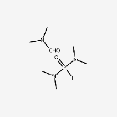 CN(C)C=O.CN(C)P(=O)(F)N(C)C